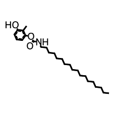 CCCCCCCCCCCCCCCCCCNC(=O)Oc1cccc(O)c1C